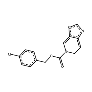 O=C(OCc1ccc(Cl)cc1)N1C=c2scnc2=CC1